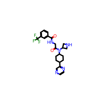 O=C(NCC(=O)N(C1CCC(c2cnccn2)CC1)C1CNC1)c1cccc(C(F)(F)F)c1